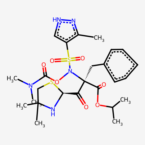 Cc1n[nH]cc1S(=O)(=O)N(OC(=O)N(C)C)[C@@](Cc1ccccc1)(C(=O)OC(C)C)C(=O)[C@H]1NC(C)(C)CS1